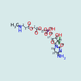 CNCCC(=O)OCC(=O)OCOP(=O)(O)OC[C@H]1O[C@@H](n2ccc(N)nc2=O)C(F)(F)[C@@H]1O